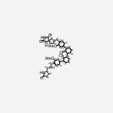 COc1nc(-c2cccc(-c3cccc(-c4cnc(CN5CCC6(C5)NC(=O)NC6=O)c(OC)n4)c3Cl)c2Cl)cnc1CNCC1CCC(=O)N1